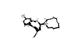 Cc1cc(N2CCCCCCC2)nc2cc(Cl)ccc12